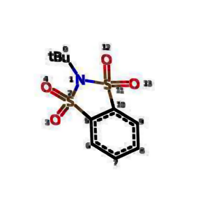 CC(C)(C)N1S(=O)(=O)c2ccccc2S1(=O)=O